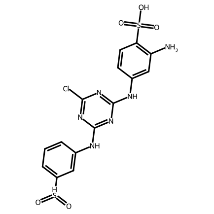 Nc1cc(Nc2nc(Cl)nc(Nc3cccc([SH](=O)=O)c3)n2)ccc1S(=O)(=O)O